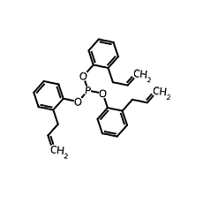 C=CCc1ccccc1OP(Oc1ccccc1CC=C)Oc1ccccc1CC=C